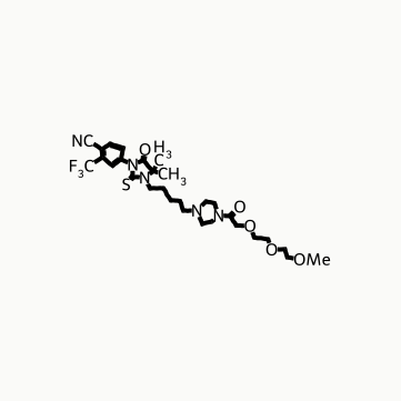 COCCOCCOCC(=O)N1CCN(CCCCCN2C(=S)N(c3ccc(C#N)c(C(F)(F)F)c3)C(=O)C2(C)C)CC1